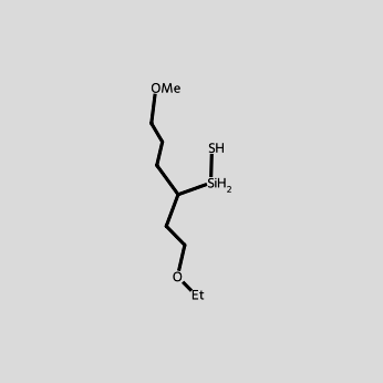 CCOCCC(CCCOC)[SiH2]S